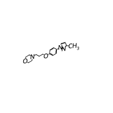 Cc1ccn(-c2ccc(OCCCN3CCOCC3)cc2)n1